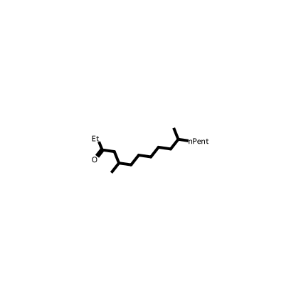 CCCCCC(C)CCCCCC(C)CC(=O)CC